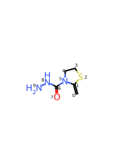 C=C1SCCN1C(=O)NN